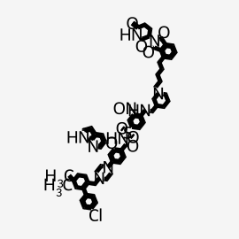 CC1(C)CCC(CN2CCN(c3ccc(C(=O)NS(=O)(=O)c4ccc(NCC5CCCN(CCCCCc6cccc7c6C(=O)N(C6CCC(=O)NC6=O)C7=O)C5)c(N=O)c4)c(Oc4cnc5[nH]ccc5c4)c3)CC2)=C(c2ccc(Cl)cc2)C1